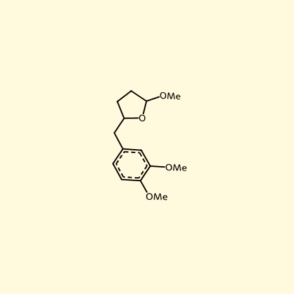 COc1ccc(CC2CCC(OC)O2)cc1OC